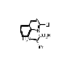 CC(C)[C@H](N)C(=O)O.Clc1ncc2ccccc2n1